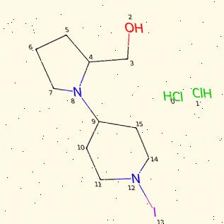 Cl.Cl.OCC1CCCN1C1CCN(I)CC1